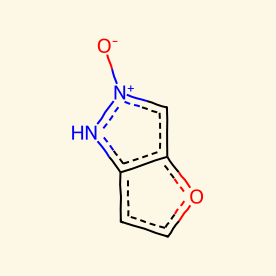 [O-][n+]1cc2occc2[nH]1